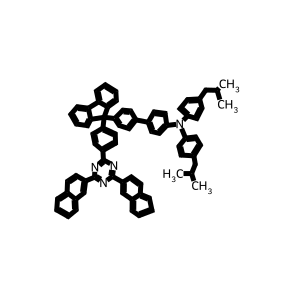 CC(C)Cc1ccc(N(c2ccc(CC(C)C)cc2)c2ccc(-c3ccc(C4(c5ccc(-c6nc(-c7ccc8ccccc8c7)nc(-c7ccc8ccccc8c7)n6)cc5)c5ccccc5-c5ccccc54)cc3)cc2)cc1